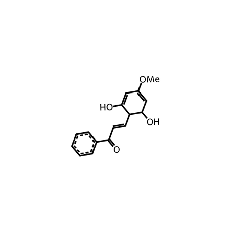 COC1=CC(O)C(C=CC(=O)c2ccccc2)C(O)=C1